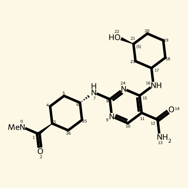 CNC(=O)[C@H]1CC[C@H](Nc2ncc(C(N)=O)c(NC3CCC[C@H](O)C3)n2)CC1